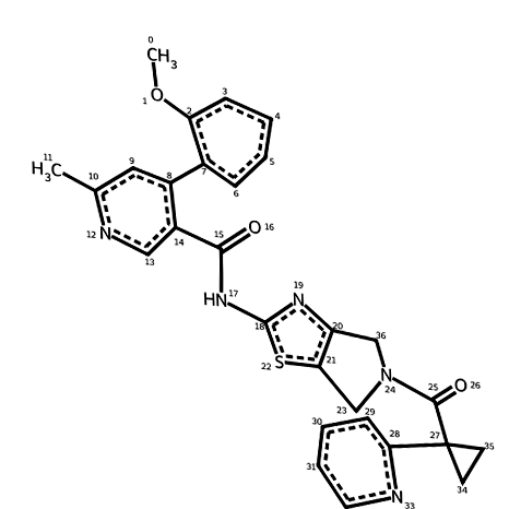 COc1ccccc1-c1cc(C)ncc1C(=O)Nc1nc2c(s1)CN(C(=O)C1(c3ccccn3)CC1)C2